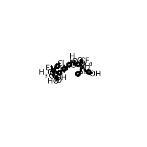 CCn1c(C)c(C(=O)OCP(=O)(O)O)c(-c2cccc(N3CCN(c4ccc(NS(=O)(=O)c5ccc(N[C@H](CCN6CCC(O)CC6)CSc6ccccc6)c(S(=O)(=O)C(F)(F)F)c5)cc4)CC3)c2)c1-c1ccc(Cl)cc1